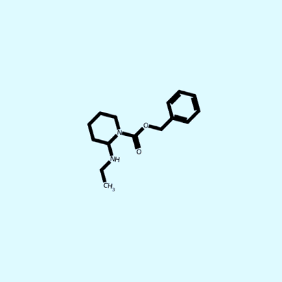 CCNC1CCCCN1C(=O)OCc1ccccc1